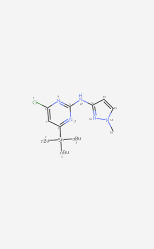 CCC[CH2][Sn]([CH2]CCC)([CH2]CCC)[c]1cc(Cl)nc(Nc2ccn(C)n2)n1